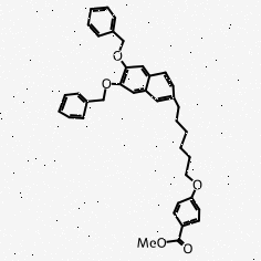 COC(=O)c1ccc(OCCCCCCc2ccc3cc(OCc4ccccc4)c(OCc4ccccc4)cc3c2)cc1